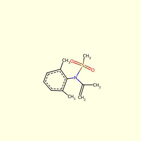 C=C(C)N(c1c(C)cccc1C)S(C)(=O)=O